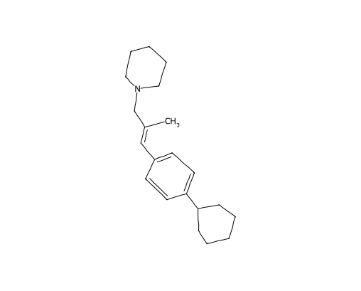 C/C(=C\c1ccc(C2CCCCC2)cc1)CN1CCCCC1